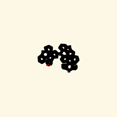 c1ccc2c(c1)Sc1ccccc1C21c2ccccc2-c2cc(N(c3ccc4c(c3)-c3ccccc3C43c4ccccc4Sc4ccccc43)c3cccc4sc5ccccc5c34)ccc21